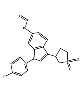 O=CNc1ccc2c(C3CCS(=O)(=O)C3)cn(-c3ccc(F)cc3)c2c1